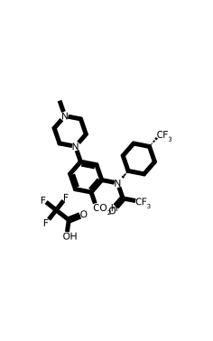 CN1CCN(c2ccc(C(=O)O)c(N(C(=O)C(F)(F)F)[C@H]3CC[C@@H](C(F)(F)F)CC3)c2)CC1.O=C(O)C(F)(F)F